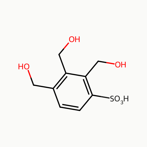 O=S(=O)(O)c1ccc(CO)c(CO)c1CO